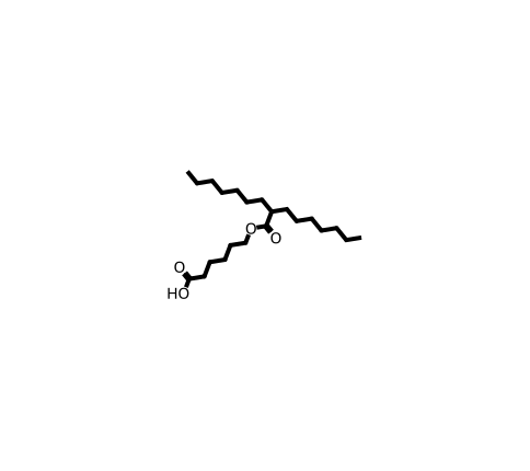 CCCCCCCC(CCCCCCC)C(=O)OCCCCCC(=O)O